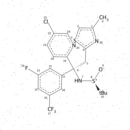 Cc1csc(C[C@](N[S@@+]([O-])C(C)(C)C)(c2cc(F)cc(C(F)(F)F)c2)c2ccc(Cl)cn2)n1